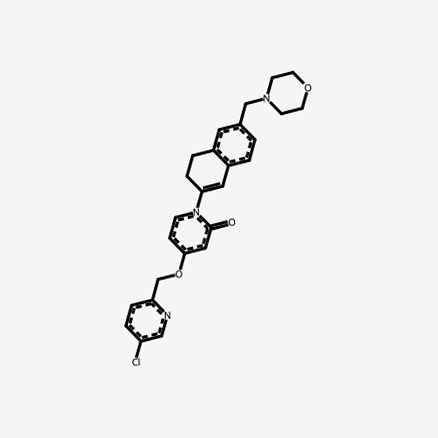 O=c1cc(OCc2ccc(Cl)cn2)ccn1C1=Cc2ccc(CN3CCOCC3)cc2CC1